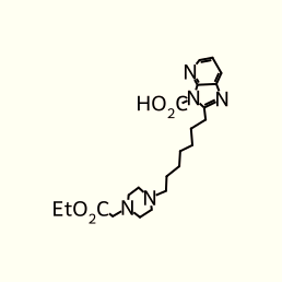 CCOC(=O)CN1CCN(CCCCCCCc2nc3cccnc3n2C(=O)O)CC1